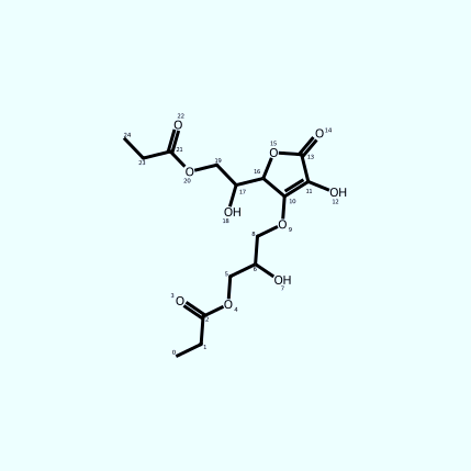 CCC(=O)OCC(O)COC1=C(O)C(=O)OC1C(O)COC(=O)CC